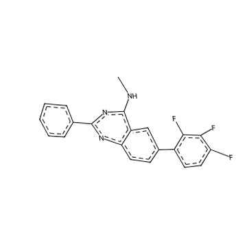 CNc1nc(-c2ccccc2)nc2ccc(-c3ccc(F)c(F)c3F)cc12